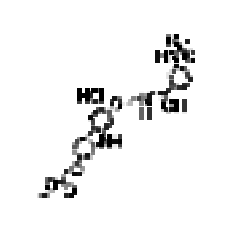 CCOC(=O)COc1ccc2c(c1)[nH]c1cc(OCCNC[C@H](O)c3cccc(NS(C)(=O)=O)c3)ccc12.Cl